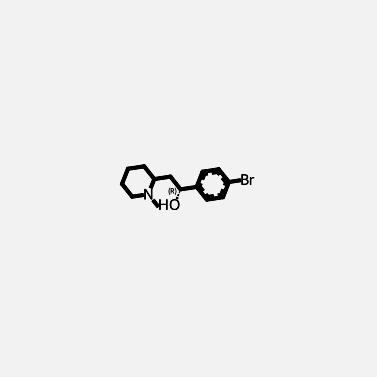 CN1CCCCC1C[C@@H](O)c1ccc(Br)cc1